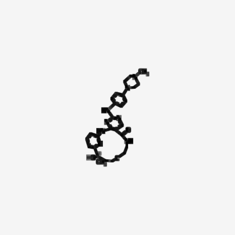 CN1CCN(c2ccc(Nc3ncc4c(n3)Nc3cccc(n3)[C@](C)(O)CCCCCNC4=O)cc2)CC1